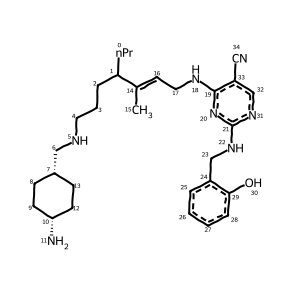 CCCC(CCCNC[C@H]1CC[C@@H](N)CC1)/C(C)=C/CNc1nc(NCc2ccccc2O)ncc1C#N